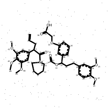 C=CCC(C(=O)N1CCCC[C@H]1C(=O)OC(CCc1ccc(OC)c(OC)c1)c1cccc(OCC(=O)O)c1)c1cc(OC)c(OC)c(OC)c1